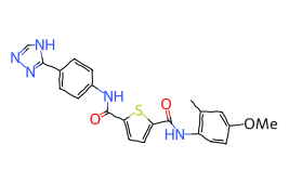 COc1ccc(NC(=O)c2ccc(C(=O)Nc3ccc(-c4nnc[nH]4)cc3)s2)c(C)c1